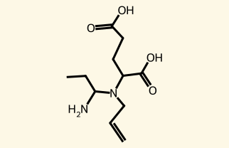 C=CCN(C(N)CC)C(CCC(=O)O)C(=O)O